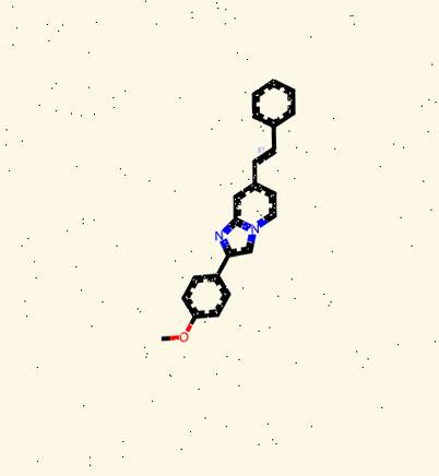 COc1ccc(-c2cn3ccc(/C=C/c4ccccc4)cc3n2)cc1